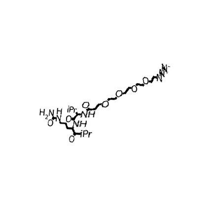 CC(C)C(=O)C(CCCNC(N)=O)NC(=O)C(NC(=O)CCOCCOCCOCCOCCN=[N+]=[N-])C(C)C